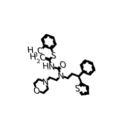 C=C(NC(=O)N(CCC(c1ccccc1)c1cccs1)CCN1CCOCC1)Sc1ccccc1C